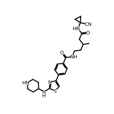 CC(CCNC(=O)c1ccc(-c2csc(NC3CCNCC3)n2)cc1)CC(=O)NC1(C#N)CC1